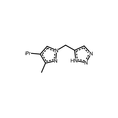 Cc1nn(Cc2cnn[nH]2)cc1C(C)C